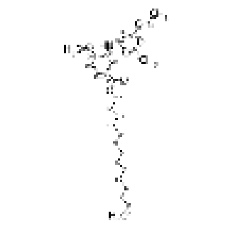 CCCCCCCCCCCCCCOC(=O)c1ccc(OC)c(NC(=CC(=O)OCC)OCC)c1